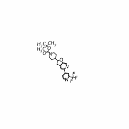 CC(C)(C)OC(=O)N1CCC(C2Cc3cc(-c4ccnc(C(F)(F)F)c4)ncc3O2)CC1